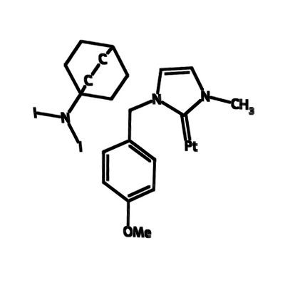 COc1ccc(Cn2ccn(C)[c]2=[Pt])cc1.IN(I)C12CCC(CC1)CC2